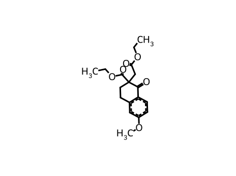 CCOC(=O)CC1(C(=O)OCC)CCc2cc(OC)ccc2C1=O